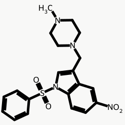 CN1CCN(Cc2cn(S(=O)(=O)c3ccccc3)c3ccc([N+](=O)[O-])cc23)CC1